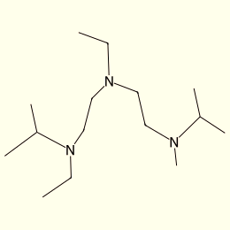 CCN(CCN(C)C(C)C)CCN(CC)C(C)C